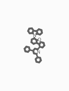 c1ccc(-c2cc(-c3ccccc3)nc(-c3cccc4oc5c(-n6c7ccccc7c7ccccc76)cccc5c34)c2)cc1